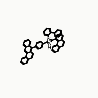 c1ccc(-c2ccccc2N2C(c3ccc(-c4c5ccccc5cc5c4ccc4ccccc45)cc3)NC2c2cccc3ccc4ccccc4c23)cc1